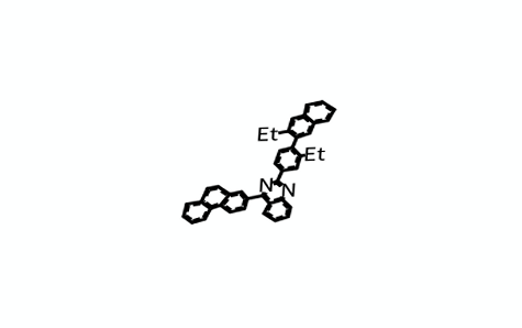 CCc1cc(-c2nc(-c3ccc4c(ccc5ccccc54)c3)c3ccccc3n2)ccc1-c1cc2ccccc2cc1CC